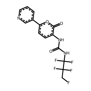 O=C(Nc1ccc(-c2cccnc2)oc1=O)NC(F)(F)C(F)(F)CF